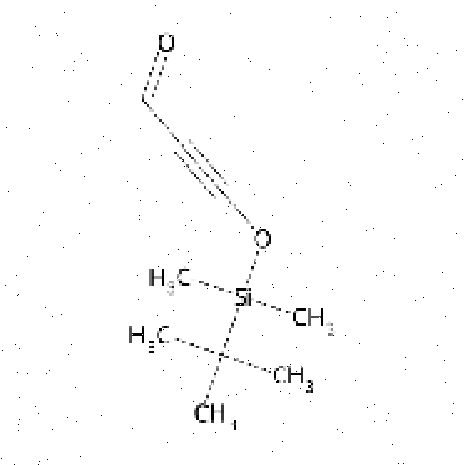 CC(C)(C)[Si](C)(C)OC#CC=O